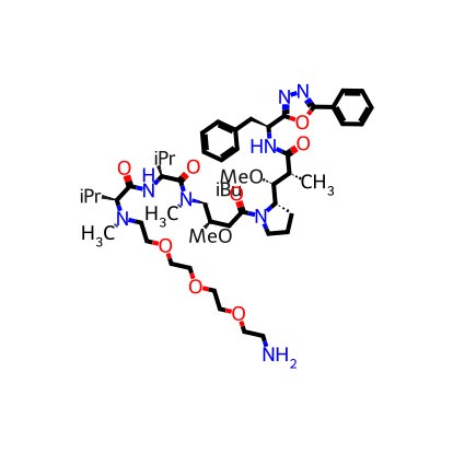 CC[C@H](C)[C@@H]([C@@H](CC(=O)N1CCC[C@H]1[C@H](OC)[C@@H](C)C(=O)N[C@@H](Cc1ccccc1)c1nnc(-c2ccccc2)o1)OC)N(C)C(=O)[C@@H](NC(=O)[C@H](C(C)C)N(C)CCOCCOCCOCCN)C(C)C